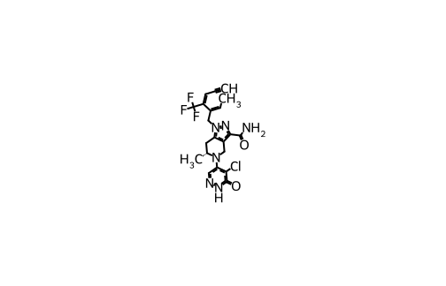 C#C/C=C(\C(=C/C)Cn1nc(C(N)=O)c2c1C[C@@H](C)N(c1cn[nH]c(=O)c1Cl)C2)C(F)(F)F